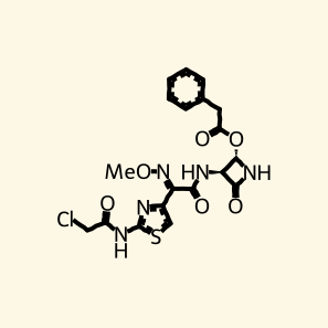 CON=C(C(=O)N[C@@H]1C(=O)N[C@H]1OC(=O)Cc1ccccc1)c1csc(NC(=O)CCl)n1